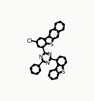 Clc1cc(-c2nc(-c3ccccc3)nc(-c3cccc4sc5ccccc5c34)n2)c2sc3cc4ccccc4cc3c2c1